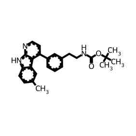 Cc1ccc2[nH]c3nccc(-c4cccc(CCNC(=O)OC(C)(C)C)c4)c3c2c1